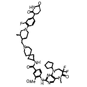 COc1cc(C(=O)NC2CC3(CCN(CC4CCN(c5ccc(C6CCC(=O)NC6=O)cc5F)CC4C)CC3)C2)ccc1Nc1ncc2c(n1)N(C1CCCC1)CC(F)(F)C(=O)N2C